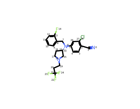 N#Cc1ccc(N(Cc2ccccc2F)[C@H]2CCN(CCC(F)(F)F)C2)cc1Cl